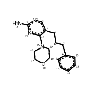 Nc1ncc(CCCc2ccccc2)c(N2CCOCC2)n1